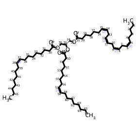 CCCCC/C=C\C/C=C\C/C=C\C/C=C\CCCCCC(=O)OC[C@@H](COC(=O)CCCCCCC/C=C\CCCCCCCC)OC(=O)CCCCCCC/C=C\CCCCCCCC